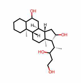 C[C@H](C(O)CCO)[C@H]1C(O)C[C@H]2[C@@H]3CC(O)C4CCCC[C@]4(C)[C@H]3CC[C@]12C